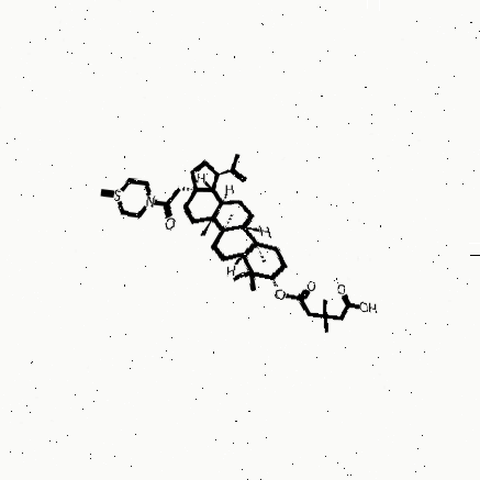 C=C(C)[C@@H]1CC[C@]2(CC(=O)N3CCS(=C)CC3)CC[C@]3(C)[C@H](CC[C@@H]4[C@@]5(C)CC[C@H](OC(=O)CC(C)(C)CC(=O)O)C(C)(C)[C@@H]5CC[C@]43C)[C@@H]12